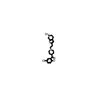 CC(=O)N1CCc2cc(CCN3CCC(c4noc5ccc(Cl)cc45)CC3)sc2C1